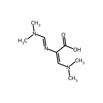 CN(C)/C=N/C(=C/N(C)C)C(=O)O